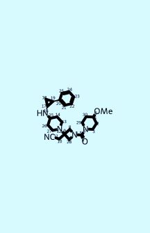 COC1CCN(C(=O)N2CC(CC#N)(N3CCC(N[C@@H]4C[C@H]4c4ccccc4)CC3)C2)CC1